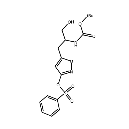 CC(C)(C)OC(=O)NC(CO)Cc1cc(OS(=O)(=O)c2ccccc2)no1